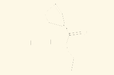 CCOC(=O)N1C=CSC1.Cl.Cl